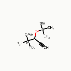 C#CC(O[Si](C)(C)C(C)(C)C)[C@@](C)(CCCC)OC